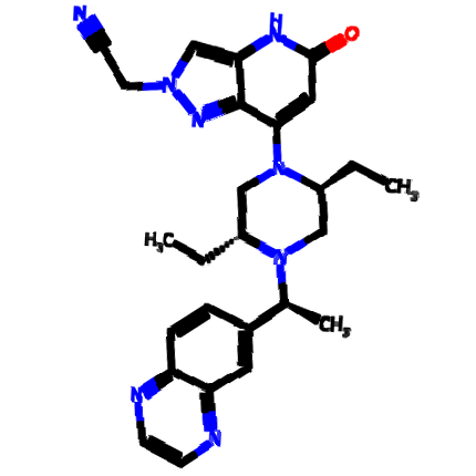 CC[C@H]1CN([C@@H](C)c2ccc3nccnc3c2)[C@H](CC)CN1c1cc(=O)[nH]c2cn(CC#N)nc12